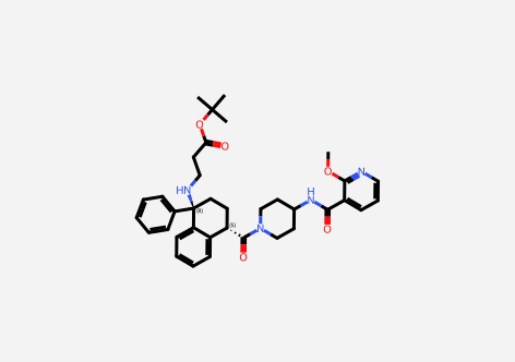 COc1ncccc1C(=O)NC1CCN(C(=O)[C@H]2CC[C@@](NCCC(=O)OC(C)(C)C)(c3ccccc3)c3ccccc32)CC1